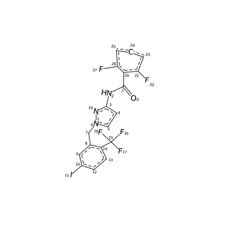 O=C(Nc1ccn(Cc2cc(I)ccc2C(F)(F)F)n1)c1c(F)cccc1F